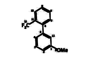 COc1cc[c]c(-c2ccccc2C(F)(F)F)c1